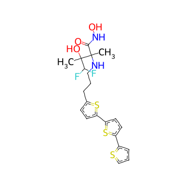 CC(NCCCc1ccc(-c2ccc(-c3cccs3)s2)s1)(C(=O)NO)C(C)(O)C(F)F